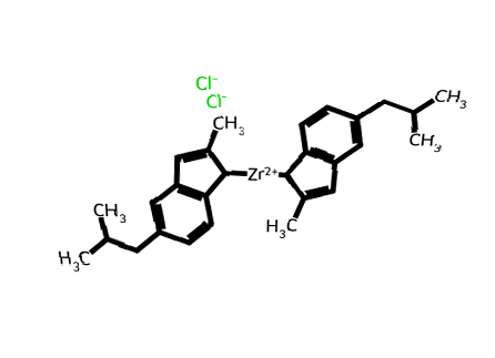 CC1=Cc2cc(CC(C)C)ccc2[CH]1[Zr+2][CH]1C(C)=Cc2cc(CC(C)C)ccc21.[Cl-].[Cl-]